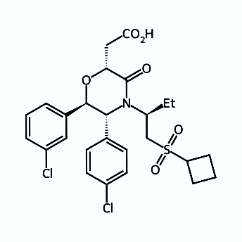 CC[C@@H](CS(=O)(=O)C1CCC1)N1C(=O)[C@@H](CC(=O)O)O[C@H](c2cccc(Cl)c2)[C@H]1c1ccc(Cl)cc1